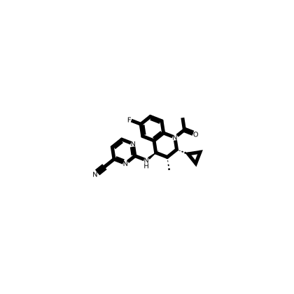 CC(=O)N1c2ccc(F)cc2[C@H](Nc2nccc(C#N)n2)[C@@H](C)[C@H]1C1CC1